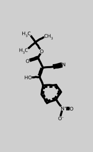 CC(C)(C)OC(=O)/C(C#N)=C(\O)c1ccc([N+](=O)[O-])cc1